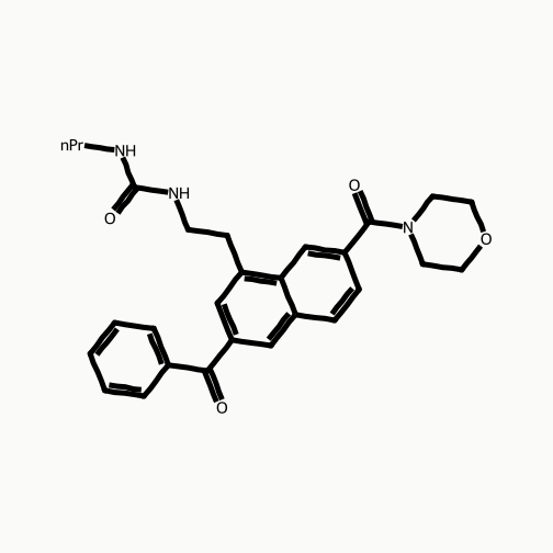 CCCNC(=O)NCCc1cc(C(=O)c2ccccc2)cc2ccc(C(=O)N3CCOCC3)cc12